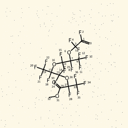 C=C(F)C(F)(F)OC(F)(C(F)(F)F)C(F)(F)OC(F)(C(F)(F)F)C(F)(F)OC(F)(C(=O)OC)C(F)(F)F